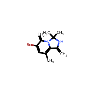 C=C1NC(C)(C)N2C(=C)C(Br)=CC(C)=C12